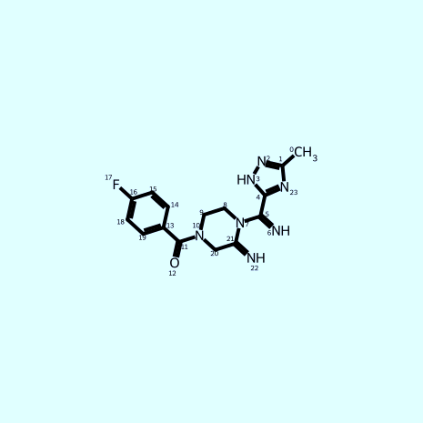 Cc1n[nH]c(C(=N)N2CCN(C(=O)c3ccc(F)cc3)CC2=N)n1